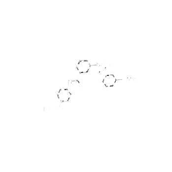 COc1cccc(S(=O)(=O)Nc2cccc(C(=O)Nc3ccc(C(=O)O)cc3)c2)c1